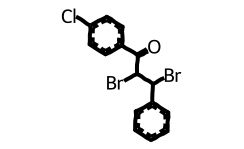 O=C(c1ccc(Cl)cc1)C(Br)C(Br)c1ccccc1